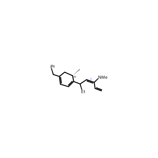 C=C/C(=C\C(CC)C1=CC=C(CC(C)C)C[C@@H]1C)NC